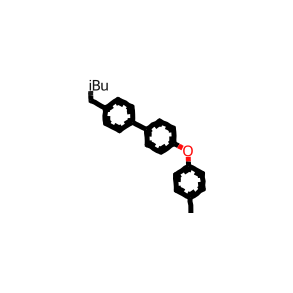 CCC(C)Cc1ccc(-c2ccc(Oc3ccc(C)cc3)cc2)cc1